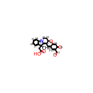 CC1(CC(=O)O)C2=C3C=C4C=C(C=O)C(=O)C=C4OC3CCN2c2ccccc21